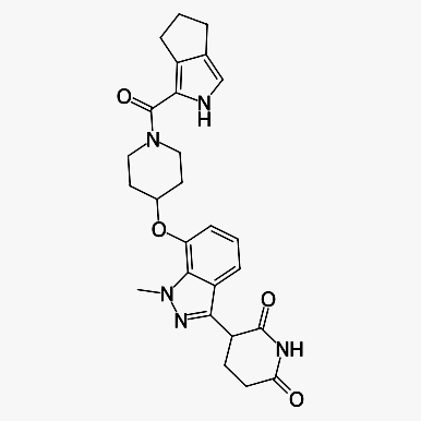 Cn1nc(C2CCC(=O)NC2=O)c2cccc(OC3CCN(C(=O)c4[nH]cc5c4CCC5)CC3)c21